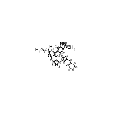 CCOC(=O)CC(c1ccc(C)c(Cn2cnc(CC3CCCCC3)c2)c1)c1ccc2c(nnn2C)c1C